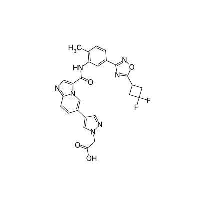 Cc1ccc(-c2noc(C3CC(F)(F)C3)n2)cc1NC(=O)c1cnc2ccc(-c3cnn(CC(=O)O)c3)cn12